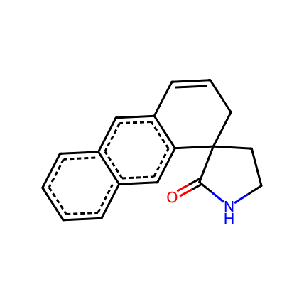 O=C1NCCC12CC=Cc1cc3ccccc3cc12